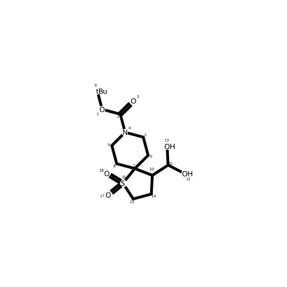 CC(C)(C)OC(=O)N1CCC2(CC1)C(C(O)O)CCS2(=O)=O